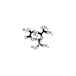 C=C(C)C(=O)OC.C=C(C)C(=O)OCN(C)C